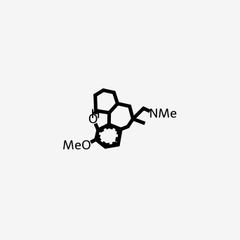 CNCC1(C)Cc2ccc(OC)c3c2C2C(CCC[C@H]2O3)C1